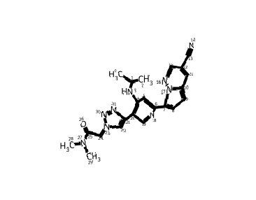 CC(C)Nc1cc(-c2ccc3cc(C#N)cnn23)ncc1-c1cn(CC(=O)N(C)C)nn1